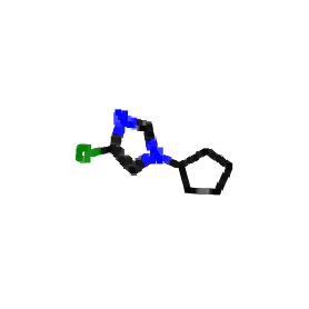 Clc1cn(C2CCCC2)cn1